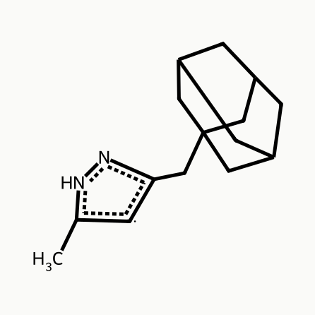 Cc1[c]c(CC23CC4CC(CC(C4)C2)C3)n[nH]1